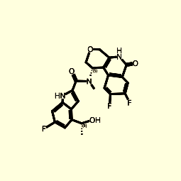 C[C@@H](O)c1cc(F)cc2[nH]c(C(=O)N(C)[C@@H]3COCc4[nH]c(=O)c5cc(F)c(F)cc5c43)cc12